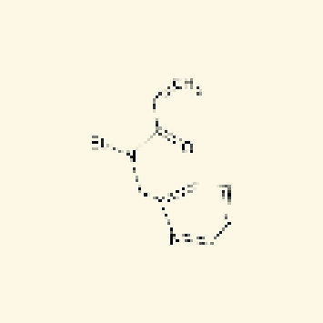 C=CC(=O)N(CC)Cc1ccccn1